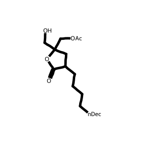 CCCCCCCCCCCCCCC1CC(CO)(COC(C)=O)OC1=O